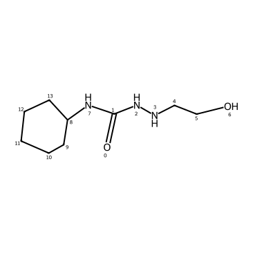 O=C(NNCCO)NC1CCCCC1